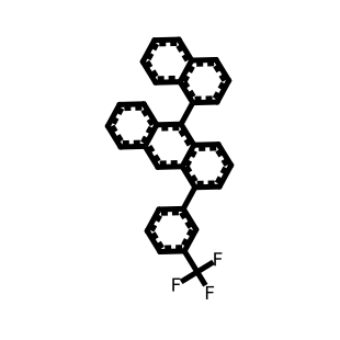 FC(F)(F)c1cccc(-c2cccc3c(-c4cccc5ccccc45)c4ccccc4cc23)c1